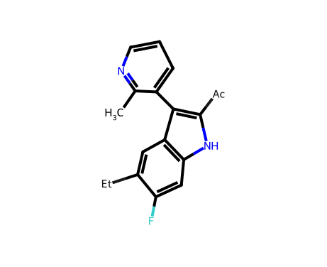 CCc1cc2c(-c3cccnc3C)c(C(C)=O)[nH]c2cc1F